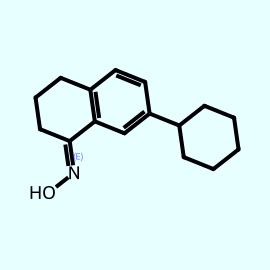 O/N=C1\CCCc2ccc(C3CCCCC3)cc21